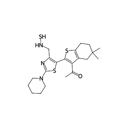 CC(=O)c1c(-c2sc(N3CCCCC3)nc2CNS)sc2c1CC(C)(C)CC2